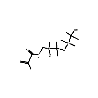 C=C(C)C(=O)NC[Si](C)(C)C(C)(C)O[Si](C)(C)C(C)(C)O